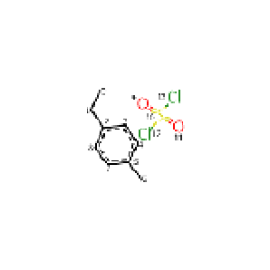 CCc1ccc(C)cc1.O=S(=O)(Cl)Cl